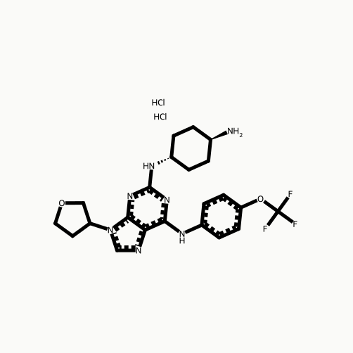 Cl.Cl.N[C@H]1CC[C@H](Nc2nc(Nc3ccc(OC(F)(F)F)cc3)c3ncn(C4CCOC4)c3n2)CC1